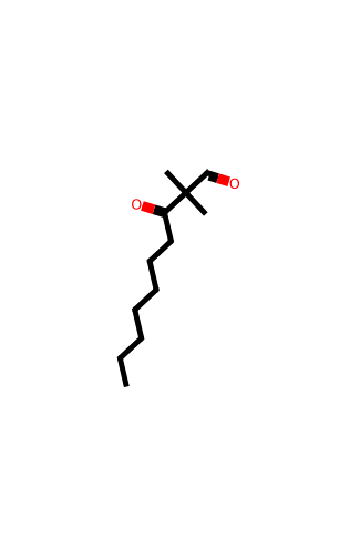 CCCCCCCC(=O)C(C)(C)[C]=O